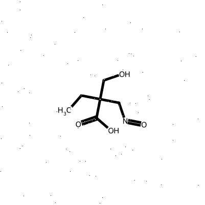 CCC(CO)(CN=O)C(=O)O